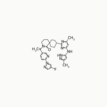 Cc1cc(Nc2cc(C)nc(C3CCC4(CCCN([C@@H](C)c5ccc(-n6cc(F)cn6)nc5)C4=O)CC3)n2)[nH]n1